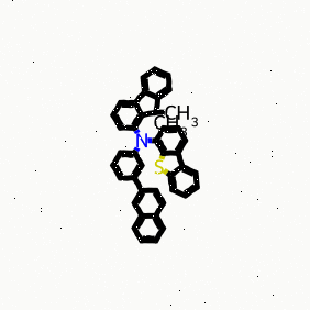 CC1(C)c2ccccc2-c2cccc(N(c3cccc(-c4ccc5ccccc5c4)c3)c3cccc4c3sc3ccccc34)c21